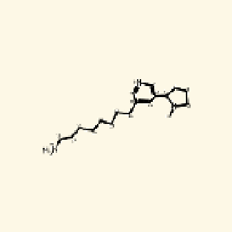 CN1CCCC1c1cncc(CCCCCCCCN)c1